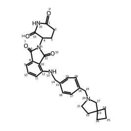 O=C1CCC(N2C(=O)c3cccc(NCc4ccc(CN5CCC6(CCC6)C5)cc4)c3C2=O)C(=O)N1